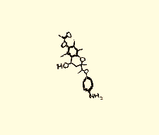 CC(=O)Oc1c(C)c(C)c2c(c1C)C(O)CC(C)(C(C)Oc1ccc(N)cc1)O2